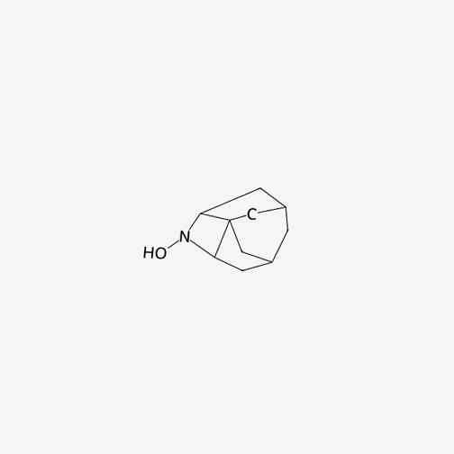 ON1C2CC3CC4CC1C2(C3)C4